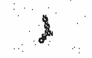 c1ccc2sc(-c3cncc(N4CCN(c5ccncc5)CC4)n3)cc2c1